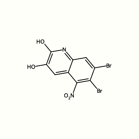 O=[N+]([O-])c1c(Br)c(Br)cc2nc(O)c(O)cc12